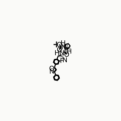 CC(C)(C)OC(=O)N1[C@@H]2CC[C@@H](C2)[C@H]1C(=O)N[C@H](C#N)Cc1ccc(-c2cc(-c3ccccc3)no2)cc1F